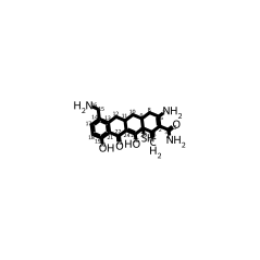 C=C1C(C(N)=O)=C(N)CC2CC3Cc4c(CN)ccc(O)c4C(=O)C3=C(O)C12S